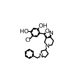 Oc1cc(O)c(-c2onc3c2CN(C2CCN(Cc4ccccc4)C2)CC3)cc1Cl